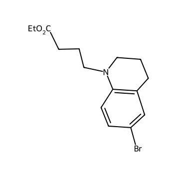 CCOC(=O)CCCN1CCCc2cc(Br)ccc21